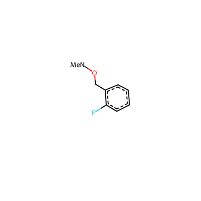 CNOCc1ccccc1F